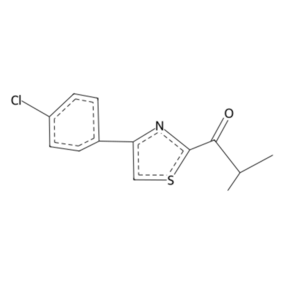 CC(C)C(=O)c1nc(-c2ccc(Cl)cc2)cs1